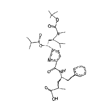 CC(C)C(=O)O[C@H](C[C@H](C(C)C)N(C)C(=O)OC(C)(C)C)c1nc(C(=O)NC(Cc2ccccc2)CC(C)C(=O)O)cs1